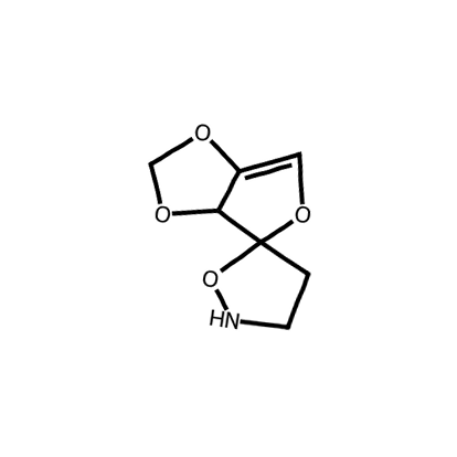 C1=C2OCOC2C2(CCNO2)O1